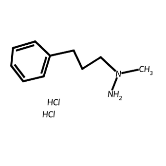 CN(N)CCCc1ccccc1.Cl.Cl